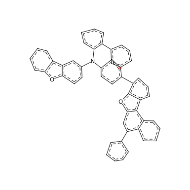 c1ccc(-c2ccccc2N(c2ccc(-c3cccc4c3oc3cc(-c5ccccc5)c5ccccc5c34)cc2)c2ccc3oc4ccccc4c3c2)cc1